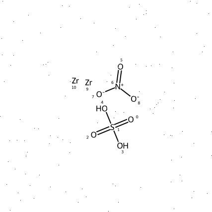 O=S(=O)(O)O.O=[N+]([O-])[O-].[Zr].[Zr]